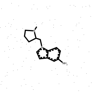 CN1CCCC1Cn1ccc2cc(N)ccc21